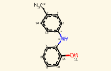 Cc1ccc(Nc2cc[c]cc2O)cc1